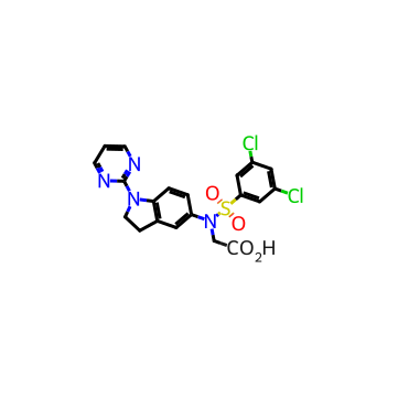 O=C(O)CN(c1ccc2c(c1)CCN2c1ncccn1)S(=O)(=O)c1cc(Cl)cc(Cl)c1